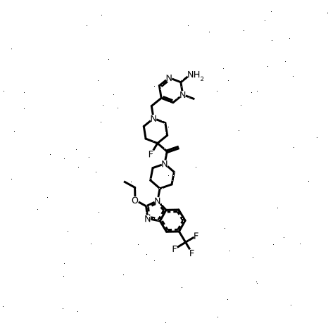 C=C(N1CCC(n2c(OCC)nc3cc(C(F)(F)F)ccc32)CC1)C1(F)CCN(CC2=CN(C)C(N)N=C2)CC1